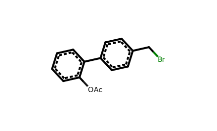 CC(=O)Oc1ccccc1-c1ccc(CBr)cc1